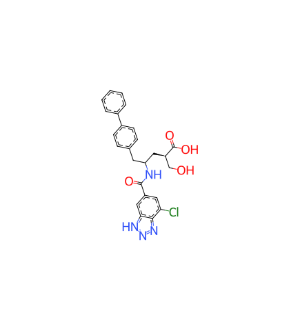 O=C(NC(Cc1ccc(-c2ccccc2)cc1)C[C@H](CO)C(=O)O)c1cc(Cl)c2nn[nH]c2c1